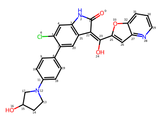 O=C1Nc2cc(Cl)c(-c3ccc(N4CCC(O)C4)cc3)cc2C1=C(O)c1cc2ncccc2o1